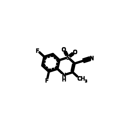 CC1=C(C#N)S(=O)(=O)c2cc(F)cc(F)c2N1